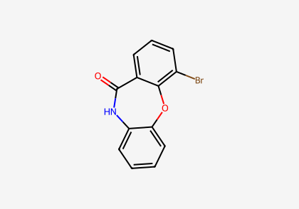 O=C1Nc2ccccc2Oc2c(Br)cccc21